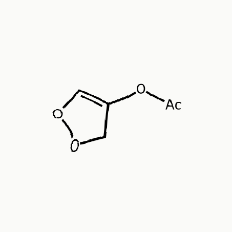 CC(=O)OC1=COOC1